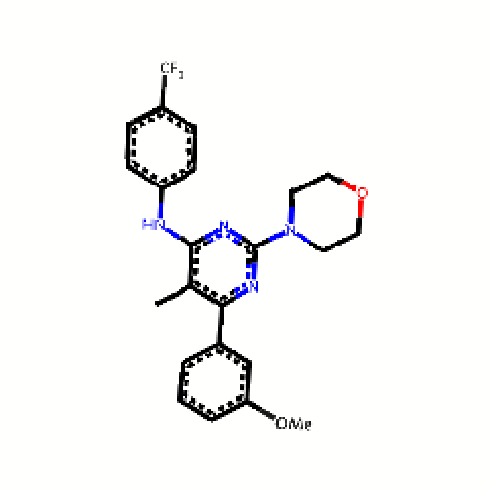 COc1cccc(-c2nc(N3CCOCC3)nc(Nc3ccc(C(F)(F)F)cc3)c2C)c1